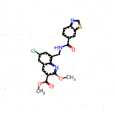 COC(=O)c1cc2cc(Cl)cc(CNC(=O)c3ccc4ncsc4c3)c2nc1OC